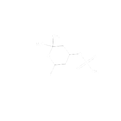 CC1(C)CC(OS(C)(=O)=O)CC(I)O1